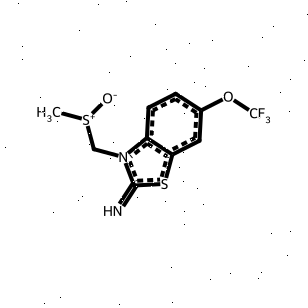 C[S+]([O-])Cn1c(=N)sc2cc(OC(F)(F)F)ccc21